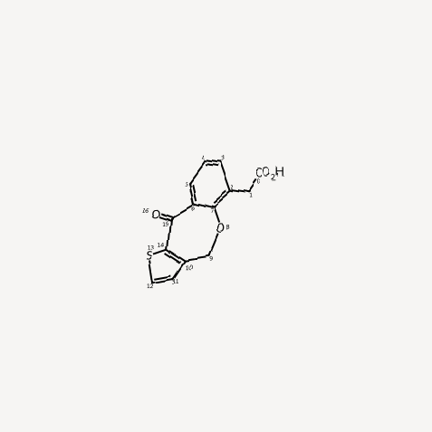 O=C(O)Cc1cccc2c1OCc1ccsc1C2=O